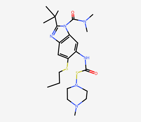 CCCSc1cc2nc(C(C)(C)C)n(C(=O)N(C)C)c2cc1NC(=O)SN1CCN(C)CC1